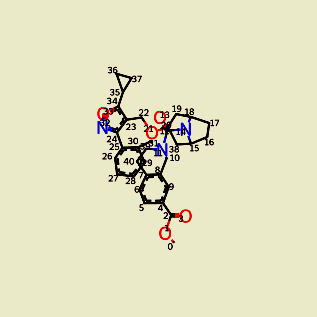 COC(=O)c1ccc2c(c1)CN(C(=O)N1C3CCC1CC(OCc1c(-c4ccccc4C)noc1C1CC1)C3)CC2